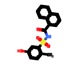 Cc1ccc(O)cc1S(=O)(=O)NC(=O)c1cccc2ccccc12